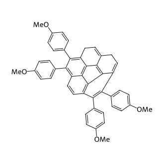 COc1ccc(-c2c3c4c5c(ccc6c(-c7ccc(OC)cc7)c(-c7ccc(OC)cc7)c7c(c65)=C4C(=CC3)CC=7)c2-c2ccc(OC)cc2)cc1